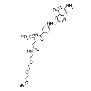 CCCOCCOCCOCCNC(=O)CCC(NC(=O)c1ccc(NCc2cnc3nc(N)[nH]c(=O)c3n2)cc1)C(=O)O